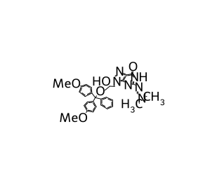 COc1ccc(C(OCC(O)Cn2cnc3c(=O)[nH]c(N=CN(C)C)nc32)(c2ccccc2)c2ccc(OC)cc2)cc1